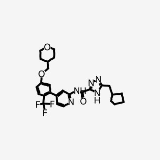 O=C(Nc1cc(-c2cc(OCC3CCOCC3)ccc2C(F)(F)F)ccn1)c1nnc(CC2CCCC2)[nH]1